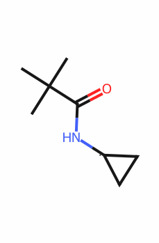 CC(C)(C)C(=O)N[C]1CC1